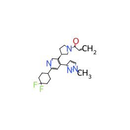 C=CC(=O)N1CC[C@H](c2cnc(C3CCC(F)(F)CC3)cc2-c2ccn(C)n2)C1